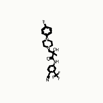 CC(O)(CN1CCN(c2ccc(F)cc2)CC1)C(=O)Nc1ccc(C#N)c(C(F)(F)F)c1